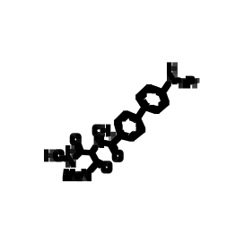 CCCNc1ccc(-c2ccc(C(=O)N(C)C(C(=O)NC)C(=O)NO)cc2)cc1